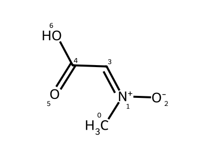 C/[N+]([O-])=C\C(=O)O